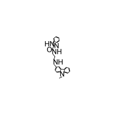 CCn1c2ccccc2c2cc(CNCCCNC(=O)c3nc4ccccc4[nH]3)ccc21